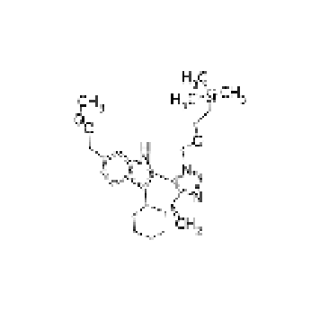 C=Cc1ncn(COCC[Si](C)(C)C)c1-c1[nH]c2cc(COOC)ccc2c1C1CCCCC1